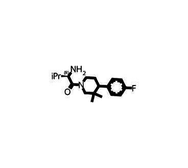 CC(C)[C@@H](N)C(=O)N1CCC(c2ccc(F)cc2)C(C)(C)C1